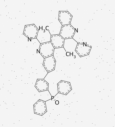 Cc1c2c(-c3ccccn3)nc3cc(-c4cccc(P(=O)(c5ccccc5)c5ccccc5)c4)ccc3c2c(C)c2c(-c3ccccn3)nc3ccccc3c12